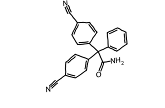 N#Cc1ccc(C(C(N)=O)(c2ccccc2)c2ccc(C#N)cc2)cc1